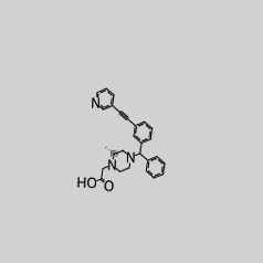 C[C@@H]1CN(C(c2ccccc2)c2cccc(C#Cc3cccnc3)c2)CCN1CC(=O)O